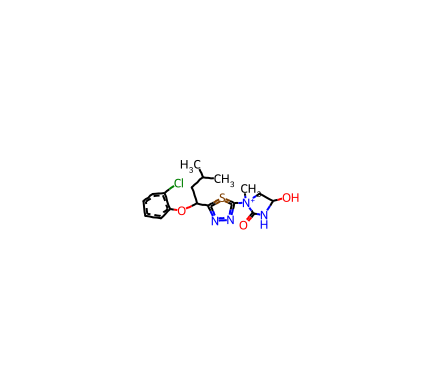 CC(C)CC(Oc1ccccc1Cl)c1nnc([N+]2(C)CC(O)NC2=O)s1